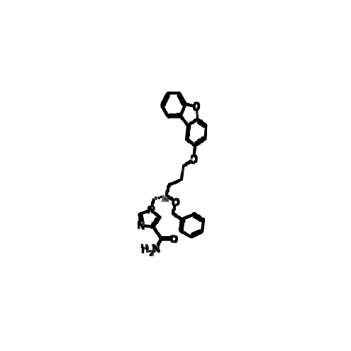 NC(=O)c1cn(C[C@H](CCCOc2ccc3oc4ccccc4c3c2)OCc2ccccc2)cn1